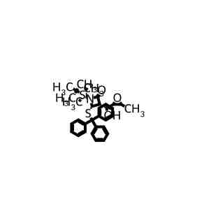 CC1OC1C(O)[C@H]1C(=O)N([Si](C)(C)C(C)(C)C)[C@@H]1SC(c1ccccc1)(c1ccccc1)c1ccccc1